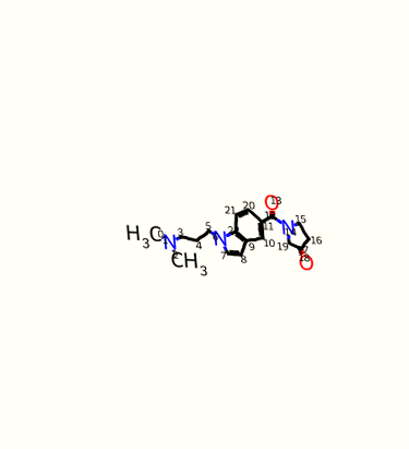 CN(C)CCCn1ccc2cc(C(=O)N3CCC(=O)C3)ccc21